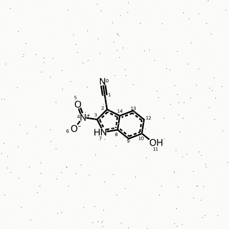 N#Cc1c([N+](=O)[O-])[nH]c2cc(O)ccc12